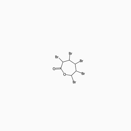 O=C1OC(Br)C(Br)C(Br)C(Br)C1Br